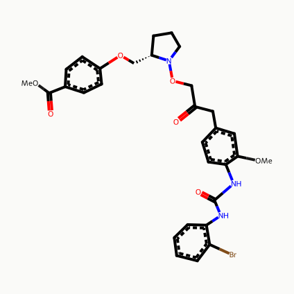 COC(=O)c1ccc(OC[C@@H]2CCCN2OCC(=O)Cc2ccc(NC(=O)Nc3ccccc3Br)c(OC)c2)cc1